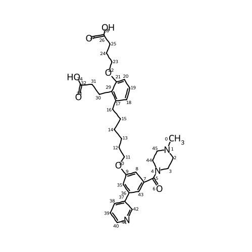 CN1CCN(C(=O)c2cc(OCCCCCCc3cccc(OCCCC(=O)O)c3CCC(=O)O)cc(-c3cccnc3)c2)CC1